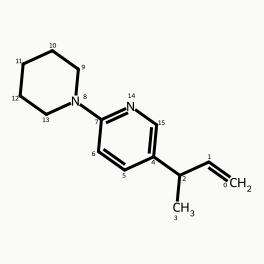 C=CC(C)c1ccc(N2CCCCC2)nc1